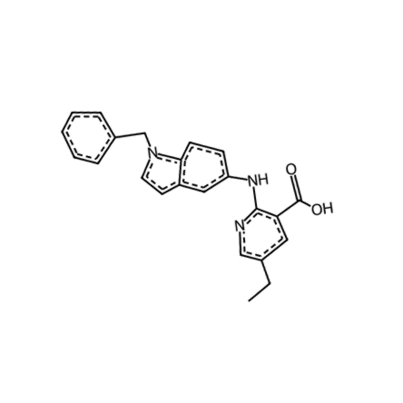 CCc1cnc(Nc2ccc3c(ccn3Cc3ccccc3)c2)c(C(=O)O)c1